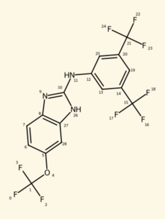 FC(F)(F)Oc1ccc2nc(Nc3cc(C(F)(F)F)cc(C(F)(F)F)c3)[nH]c2c1